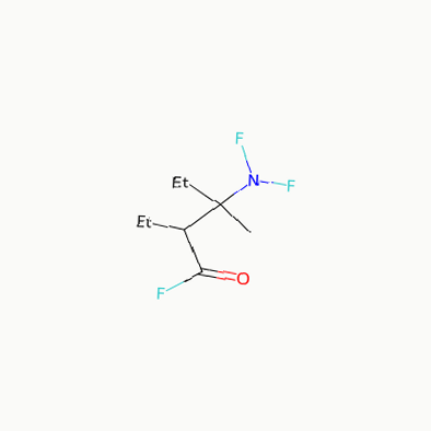 CCC(C(=O)F)C(C)(CC)N(F)F